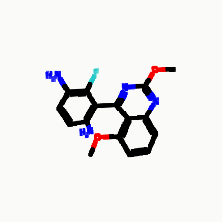 COc1nc(-c2c(N)ccc(N)c2F)c2c(OC)cccc2n1